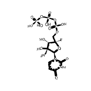 CC(C)[C@]1(O)[C@H](n2ccc(=O)[nH]c2=O)O[C@](F)(COP(=O)(O)OP(=O)(O)OP(=O)(O)O)[C@H]1O